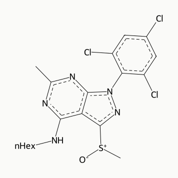 CCCCCCNc1nc(C)nc2c1c([S+](C)[O-])nn2-c1c(Cl)cc(Cl)cc1Cl